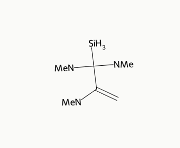 C=C(NC)C([SiH3])(NC)NC